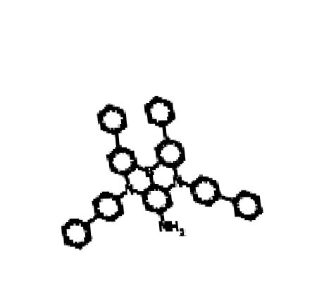 Nc1cc2c3c(c1)N(c1ccc(-c4ccccc4)cc1)c1ccc(-c4ccccc4)cc1B3c1cc(-c3ccccc3)ccc1N2c1ccc(-c2ccccc2)cc1